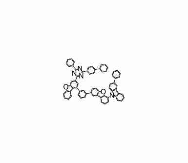 c1ccc(-c2ccc(-c3nc(-c4ccccc4)nc(-c4cc(-c5cccc(-c6ccc7oc8c(-n9c%10ccccc%10c%10cc(-c%11ccccc%11)ccc%109)cccc8c7c6)c5)c5c(c4)oc4ccccc45)n3)cc2)cc1